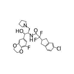 O=C(N[C@H](CN1CCCC1)[C@H](O)c1cc(F)c2c(c1)OCCO2)C(F)(F)C1Cc2ccc(Cl)cc2C1